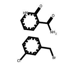 Clc1cccc(CBr)c1.NC(=O)c1ccc[nH]c1=O